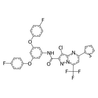 O=C(Nc1cc(Oc2ccc(F)cc2)cc(Oc2ccc(F)cc2)c1)c1nn2c(C(F)(F)F)cc(-c3cccs3)nc2c1Cl